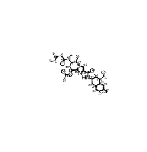 CC[C@H](C)CC(=O)N(C)C(CC(OC(C)=O)c1nc(C(=O)NC2Cc3ccc(F)cc3[C@H](C=O)C2)cs1)C(C)C